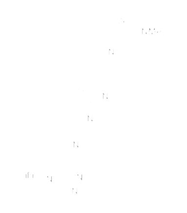 CNC(=O)c1ccc(N2CCN(c3cccc(-c4nncn4C(C)C)n3)C2=O)cn1